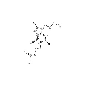 Nc1nc2c(nc(Br)n2C=CCO)c(=O)n1CCCC(=O)O